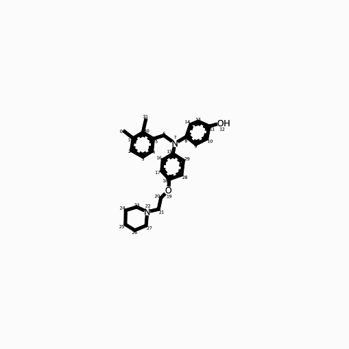 Cc1cccc(CN(c2ccc(O)cc2)c2ccc(OCCN3CCCCC3)cc2)c1C